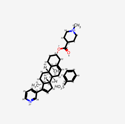 CN1CCC(C(=O)O[C@H]2CC[C@@]3(C)C(=CC[C@@H]4[C@@H]3CC[C@]3(C)C(c5cccnc5)=CC[C@@H]43)C2)CC1.O=S(=O)(O)c1ccccc1